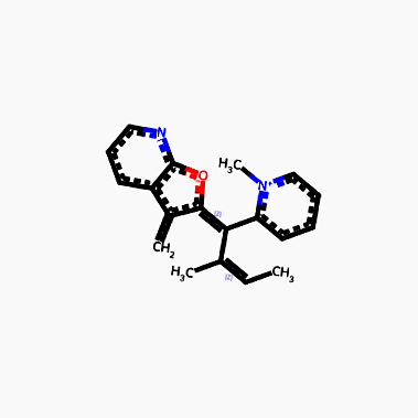 C=c1/c(=C(\C(C)=C/C)c2cccc[n+]2C)oc2ncccc12